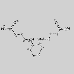 O=C(O)CCCN[C@@H]1CCCC[C@H]1NCCCC(=O)O